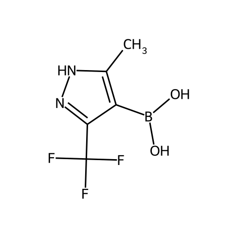 Cc1[nH]nc(C(F)(F)F)c1B(O)O